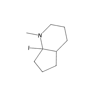 CN1CCCC2CCCC21I